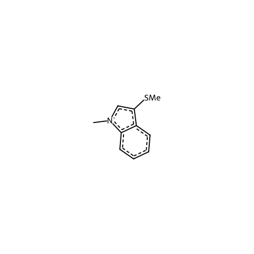 CSc1cn(C)c2ccccc12